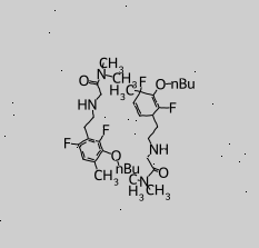 CCCCOC1=C(F)C(CCNCC(=O)N(C)C)C=CC1(C)F.CCCCOc1c(C)cc(F)c(CCNCC(=O)N(C)C)c1F